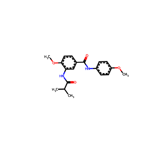 COc1ccc(NC(=O)c2ccc(OC)c(NC(=O)C(C)C)c2)cc1